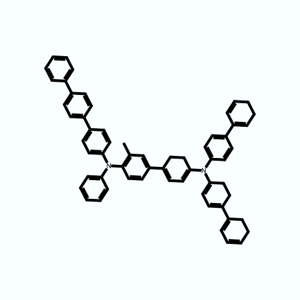 Cc1cc(C2=CC=C(N(C3=CC=C(C4=CC=CCC4)CC3)c3ccc(C4=CCCC=C4)cc3)CC2)ccc1N(c1ccccc1)c1ccc(-c2ccc(-c3ccccc3)cc2)cc1